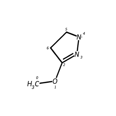 COC1=N[N]CC1